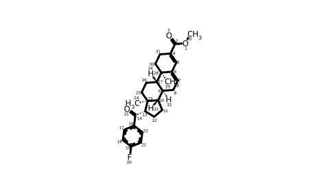 COC(=O)C1=CC2=CC[C@H]3[C@@H]4CC[C@H](C(=O)c5ccc(F)cc5)[C@@]4(C)CC[C@@H]3[C@@]2(C)CC1